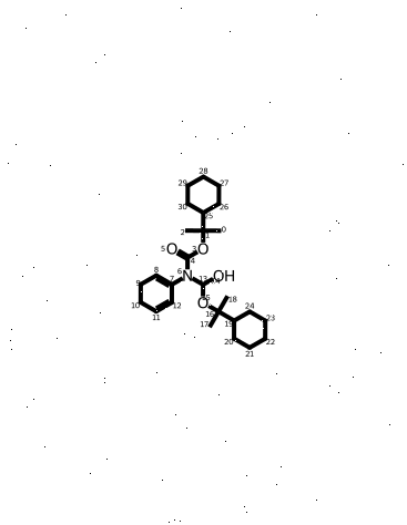 CC(C)(OC(=O)N(C1=CCCC=C1)C(O)OC(C)(C)C1CCCCC1)C1CCCCC1